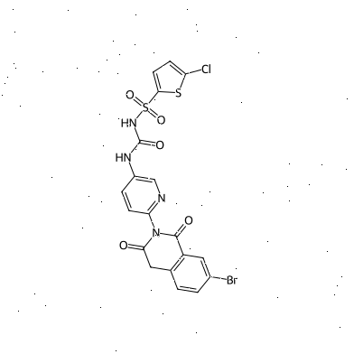 O=C(Nc1ccc(N2C(=O)Cc3ccc(Br)cc3C2=O)nc1)NS(=O)(=O)c1ccc(Cl)s1